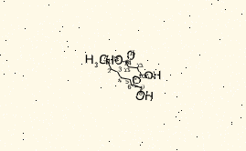 CCCCCCC=CO.O=C(O)CCC(=O)O